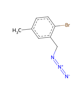 Cc1ccc(Br)c(CN=[N+]=[N-])c1